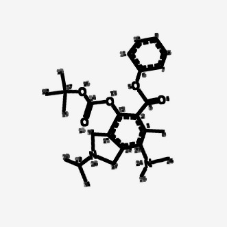 Cc1c(C(=O)Oc2ccccc2)c(OC(=O)OC(C)(C)C)c2c(c1N(C)C)CN(C(C)C)C2